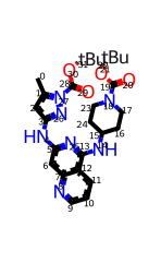 Cc1cc(Nc2cc3ncccc3c(NC3CCN(C(=O)OC(C)(C)C)CC3)n2)nn1C(=O)OC(C)(C)C